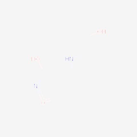 OCCN[C@@H]1CCCc2onc(O)c21